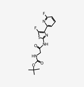 CC(C)(C)OC(=O)NCC(=O)Nc1nc(-c2cccc(F)n2)c(F)s1